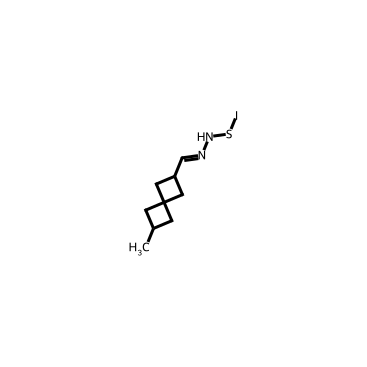 CC1CC2(C1)CC(/C=N/NSI)C2